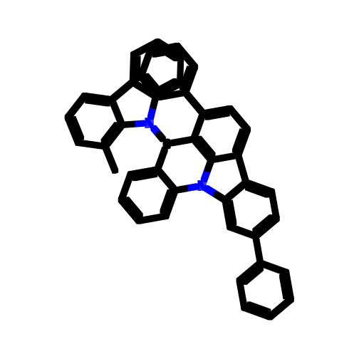 Cc1cccc2c3ccccc3n(B3c4ccccc4-n4c5cc(-c6ccccc6)ccc5c5ccc(-c6ccccc6)c3c54)c12